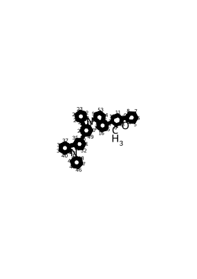 CC1c2oc3ccccc3c2C=CC1c1cccc2c(-n3c4ccccc4c4cc(-c5ccc6c(c5)c5ccccc5n6-c5ccccc5)ccc43)cccc12